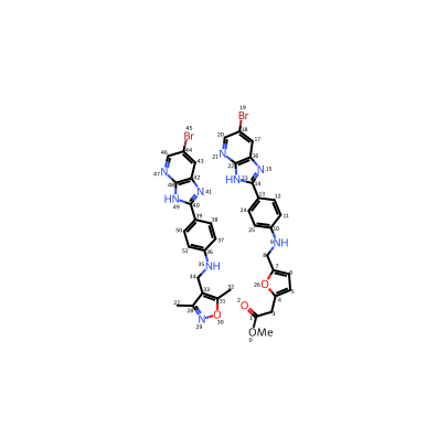 COC(=O)Cc1ccc(CNc2ccc(-c3nc4cc(Br)cnc4[nH]3)cc2)o1.Cc1noc(C)c1CNc1ccc(-c2nc3cc(Br)cnc3[nH]2)cc1